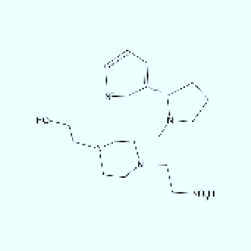 CN1CCC[C@H]1c1cccnc1.O=S(=O)(O)CCN1CCN(CCO)CC1